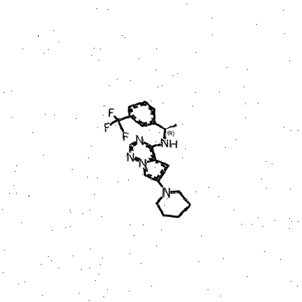 C[C@@H](Nc1ncnn2cc(N3CCCCC3)cc12)c1cccc(C(F)(F)F)c1